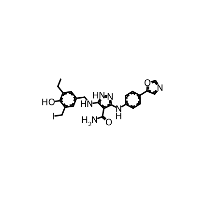 CCc1cc(CNc2[nH]nc(Nc3ccc(-c4cnco4)cc3)c2C(N)=O)cc(CI)c1O